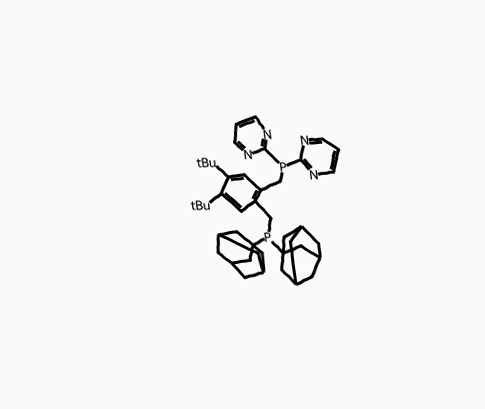 CC(C)(C)c1cc(CP(c2ncccn2)c2ncccn2)c(CP(C23CC4CC(CC(C4)C2)C3)C23CC4CC(CC(C4)C2)C3)cc1C(C)(C)C